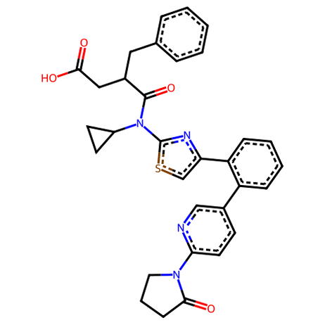 O=C(O)CC(Cc1ccccc1)C(=O)N(c1nc(-c2ccccc2-c2ccc(N3CCCC3=O)nc2)cs1)C1CC1